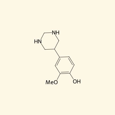 COc1cc(C2CNCNC2)ccc1O